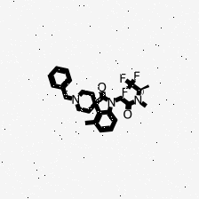 Cc1cccc2c1C1(CCN(Cc3ccccc3)CC1)C(=O)N2CC(=O)N(C)[C@H](C)C(F)(F)F